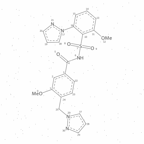 COc1cc(C(=O)NS(=O)(=O)c2c(OC)cccc2-n2cccn2)ccc1Cn1cccn1